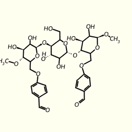 CO[C@H]1OC(COc2ccc(C=O)cc2)[C@H](O[C@H]2OC(CO)[C@H](O[C@H]3OC(COc4ccc(C=O)cc4)[C@H](OC)[C@@H](O)C3O)[C@@H](O)C2O)[C@@H](O)C1O